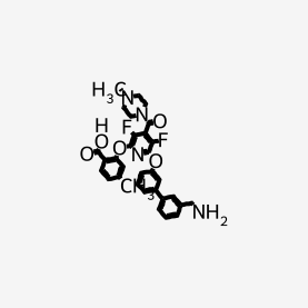 Cc1ccc(C(=O)O)c(Oc2nc(Oc3cccc(-c4cccc(CN)c4)c3)c(F)c(C(=O)N3CCN(C)CC3)c2F)c1